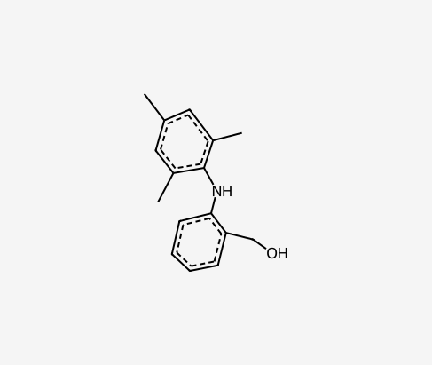 Cc1cc(C)c(Nc2ccccc2CO)c(C)c1